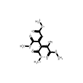 COC(=O)C=C(C(=O)OC)C(C(=O)OC)=[C]([Pt])C(=O)OC